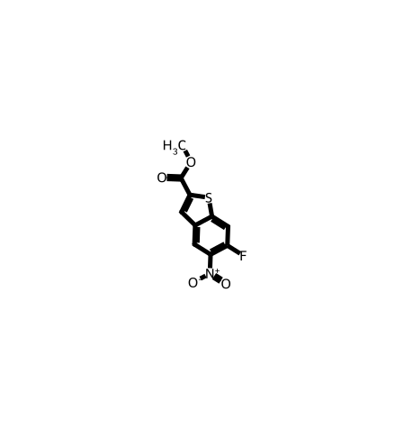 COC(=O)c1cc2cc([N+](=O)[O-])c(F)cc2s1